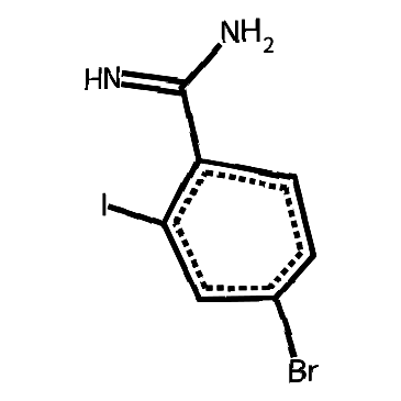 N=C(N)c1ccc(Br)cc1I